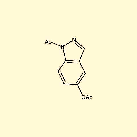 CC(=O)Oc1ccc2c(cnn2C(C)=O)c1